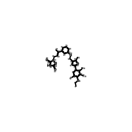 CCOc1c(F)cc(-c2nc(COc3cccc(C(C)=CCn4oc(=O)[nH]c4=O)c3)c(C)o2)c(F)c1F